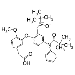 COc1ccc(CC(=O)O)cc1Oc1ccc(N(C(=O)C(C)(C)C)c2ccccc2)cc1C[S+]([O-])C(C)(C)C